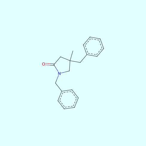 CC1(Cc2ccccc2)CC(=O)N(Cc2ccccc2)C1